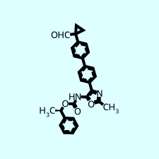 Cc1nc(-c2ccc(-c3ccc(C4(C=O)CC4)cc3)cc2)c(NC(=O)O[C@H](C)c2ccccc2)o1